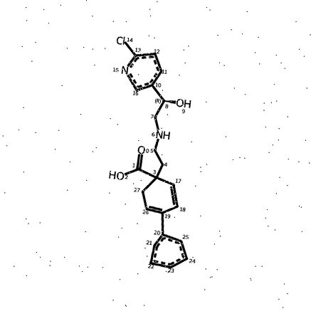 O=C(O)C1(CCNC[C@H](O)c2ccc(Cl)nc2)C=CC(c2ccccc2)=CC1